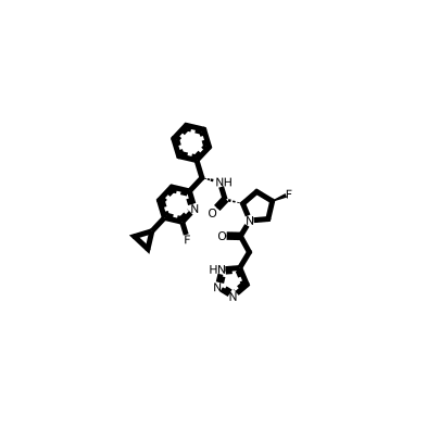 O=C(N[C@@H](c1ccccc1)c1ccc(C2CC2)c(F)n1)[C@@H]1C[C@@H](F)CN1C(=O)Cc1cnn[nH]1